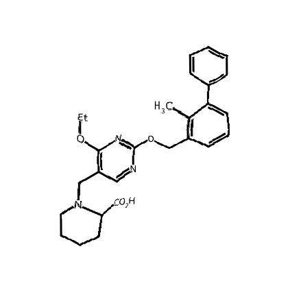 CCOc1nc(OCc2cccc(-c3ccccc3)c2C)ncc1CN1CCCCC1C(=O)O